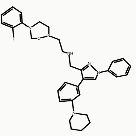 Fc1ccccc1N1CCN(CCNCc2nn(-c3ccccc3)cc2-c2cccc(N3CCCCC3)c2)CC1